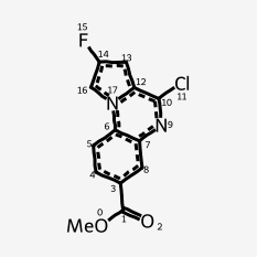 COC(=O)c1ccc2c(c1)nc(Cl)c1cc(F)cn12